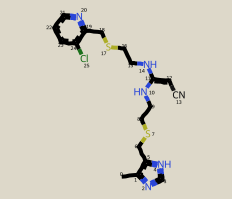 Cc1nc[nH]c1CSCCNC(=CC#N)NCCSCc1ncccc1Cl